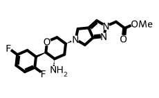 COC(=O)Cn1cc2c(n1)CN([C@H]1CO[C@H](C3CC(F)=CC=C3F)[C@@H](N)C1)C2